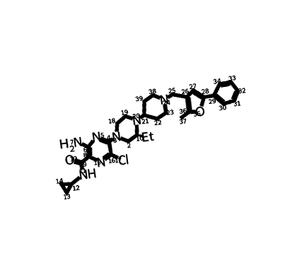 CC[C@H]1CN(c2nc(N)c(C(=O)NC3CC3)nc2Cl)CCN1C1CCN(Cc2cc(-c3ccccc3)oc2C)CC1